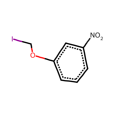 O=[N+]([O-])c1cccc(OCI)c1